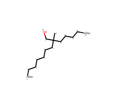 CCCCCCCCCCCCCCCCC(C)(CO)CCCCCCCCCCCCCC